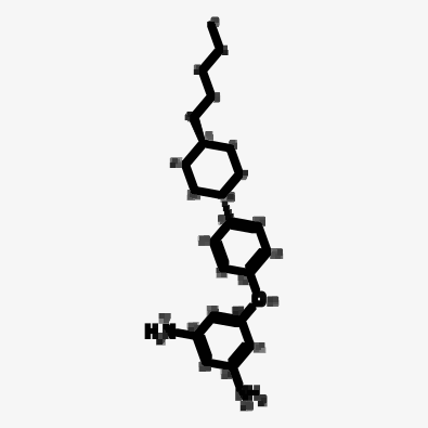 CCCCC[C@H]1CC[C@H](c2ccc(Oc3cc(N)cc(N)c3)cc2)CC1